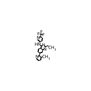 CCc1nc(Nc2ccc(C(F)(F)F)nc2)c2ccc(-c3ncccc3C)cc2n1